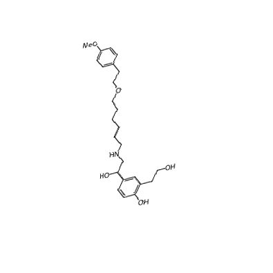 COc1ccc(CCOCCCCCCNCC(O)c2ccc(O)c(CCO)c2)cc1